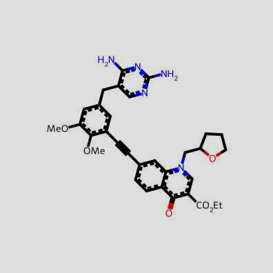 CCOC(=O)c1cn(CC2CCCO2)c2cc(C#Cc3cc(Cc4cnc(N)nc4N)cc(OC)c3OC)ccc2c1=O